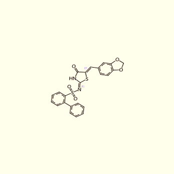 O=C1N/C(=N\S(=O)(=O)c2ccccc2-c2ccccc2)S/C1=C\c1ccc2c(c1)OCO2